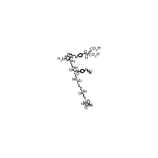 CN(Cc1cnc2nc(N)nc(NCCCNC(=O)[C@H](CCCCNC(=O)CCCCCNC(=O)CCCC[C@@H]3SC[C@@H]4NC(=O)N[C@@H]43)NC(=O)c3ccc(N=[N+]=[N-])cc3)c2n1)c1ccc(C(=O)N[C@@H](CCC(=O)O)C(=O)O)cc1